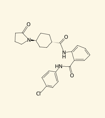 O=C(Nc1ccc(Cl)cc1)c1ccccc1NC(=O)[C@H]1CC[C@H](N2CCCC2=O)CC1